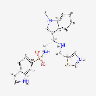 Cn1cc([C@@H](CNS(=O)(=O)c2ccc3cc[nH]c3c2)NCc2cncs2)c2ccccc21